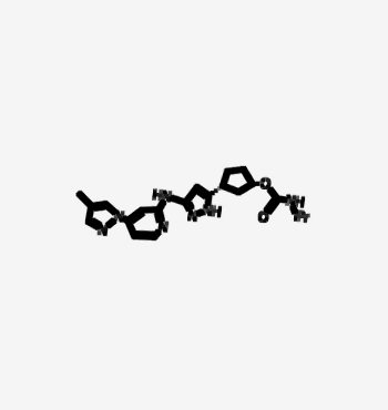 Cc1cnn(-c2ccnc(Nc3cc([C@@H]4CC[C@H](OC(=O)NC(C)C)C4)[nH]n3)c2)c1